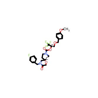 COc1ccc(COC[C@@H](OC(=O)N2CCC3(CC2)CN(Cc2ccc(F)cc2)C(=O)CO3)C(F)(F)F)cc1